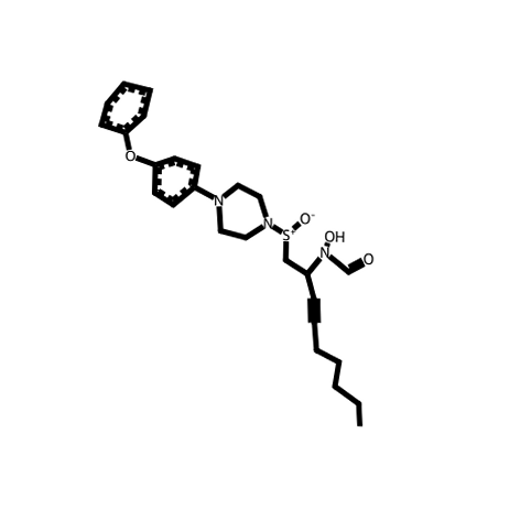 CCCCCC#CC(C[S+]([O-])N1CCN(c2ccc(Oc3ccccc3)cc2)CC1)N(O)C=O